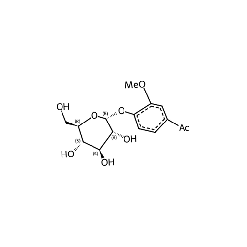 COc1cc(C(C)=O)ccc1O[C@H]1O[C@H](CO)[C@@H](O)[C@H](O)[C@H]1O